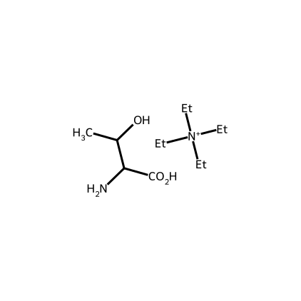 CC(O)C(N)C(=O)O.CC[N+](CC)(CC)CC